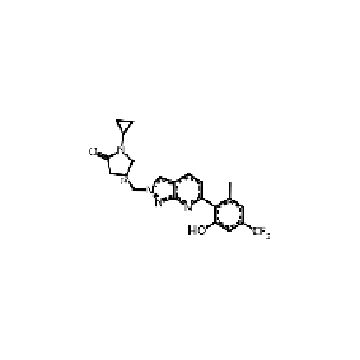 Cc1cc(C(F)(F)F)cc(O)c1-c1ccc2cn(C[C@H]3CC(=O)N(C4CC4)C3)nc2n1